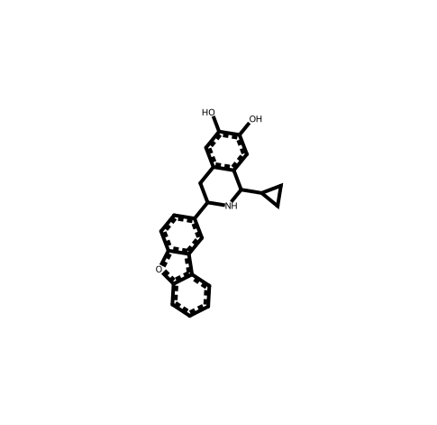 Oc1cc2c(cc1O)C(C1CC1)NC(c1ccc3oc4ccccc4c3c1)C2